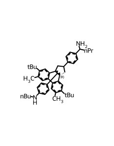 CCCCNc1ccc(C2CC34CC(c5ccc(C(N)CCC)cc5)C[C@]3(C2)c2cc(C(C)(C)C)c(C)cc2-c2cc(C)c(C(C)(C)C)cc24)cc1